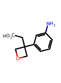 Nc1cccc(C2(CC(=O)O)COC2)c1